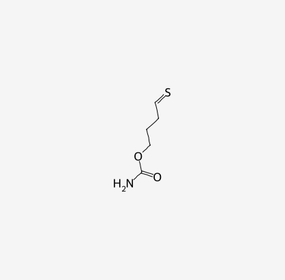 NC(=O)OCCCC=S